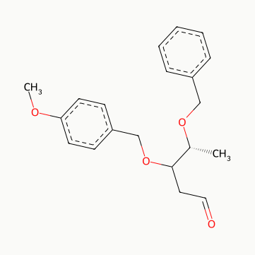 COc1ccc(COC(CC=O)[C@@H](C)OCc2ccccc2)cc1